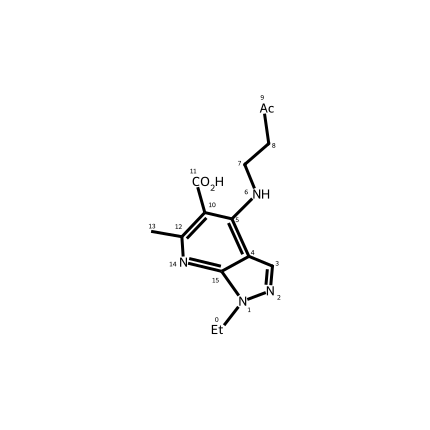 CCn1ncc2c(NCCC(C)=O)c(C(=O)O)c(C)nc21